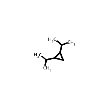 CC(C)[C]1CC1C(C)C